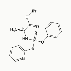 CC(C)OC(=O)[C@H](C)NP(=S)(Oc1ccccc1)Sc1ccccn1